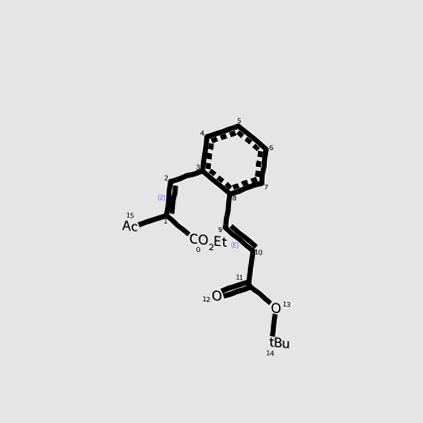 CCOC(=O)/C(=C\c1ccccc1/C=C/C(=O)OC(C)(C)C)C(C)=O